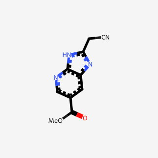 COC(=O)c1cnc2[nH]c(CC#N)nc2c1